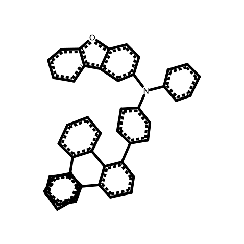 c1ccc(-c2ccccc2-c2c(-c3ccccc3)cccc2-c2ccc(N(c3ccccc3)c3ccc4oc5ccccc5c4c3)cc2)cc1